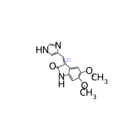 COc1cc2c(cc1OC)/C(=C/c1c[nH]cn1)C(=O)N2